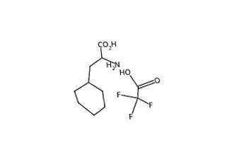 NC(CC1CCCCC1)C(=O)O.O=C(O)C(F)(F)F